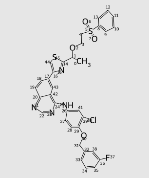 CC(OCCS(=O)(=O)c1ccccc1)c1nc(-c2ccc3ncnc(Nc4ccc(OCc5cccc(F)c5)c(Cl)c4)c3c2)cs1